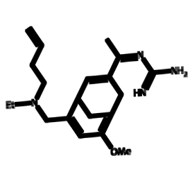 C=CCCN(CC)CC1=CC(OC)=C2CC(/C(C)=N\C(=N)N)=CC1C2